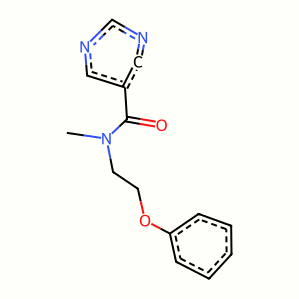 CN(CCOc1ccccc1)C(=O)c1cncnc1